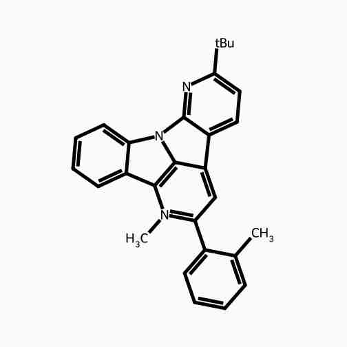 Cc1ccccc1-c1cc2c3ccc(C(C)(C)C)nc3n3c4ccccc4c(c23)[n+]1C